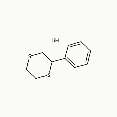 [LiH].c1ccc(C2CSCCS2)cc1